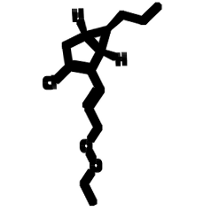 CCC[C@@H]1[C@H]2CC(Cl)=C(/C=C/COOCC)[C@@H]12